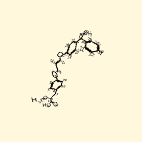 COC(Cc1ccc(OCCCOc2ccc(C(=NO)c3ccc(F)cc3)cc2)cc1)C(=O)O